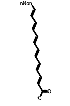 CCCCCCCCCC=CC=CC=CC=CC=CC=CC([O])=O